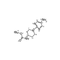 CC(C)(C)OC(=O)NC1CCN(c2ncc(N)cn2)CC1